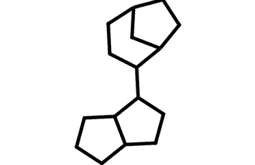 C1CC2CCC(C3CCC4CCC3C4)C2C1